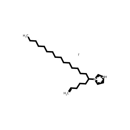 C=CCCCC(CCCCCCCCCCCCCCC)[n+]1cc[nH]c1.[I-]